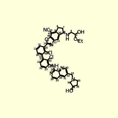 CCOC(O)CN[C@H]1CCc2c1cc1nc(-c3cccc(-c4cccc(Nc5nccc6cc(CN7CC[C@@H](O)C7)cnc56)c4Cl)c3Cl)oc1c2C#N